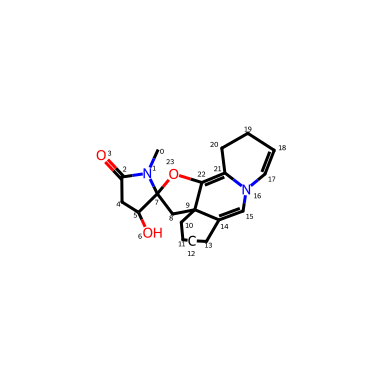 CN1C(=O)CC(O)C12CC13CCCCC1=CN1C=CCCC1=C3O2